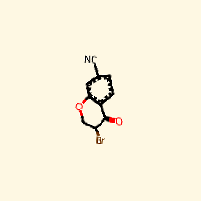 N#Cc1ccc2c(c1)OCC(Br)C2=O